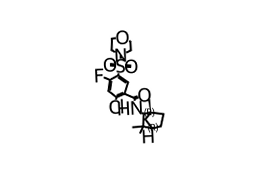 CC1(C)C(NC(=O)c2cc(S(=O)(=O)N3CCOCC3)c(F)cc2Cl)[C@]2(C)CC[C@@H]1C2